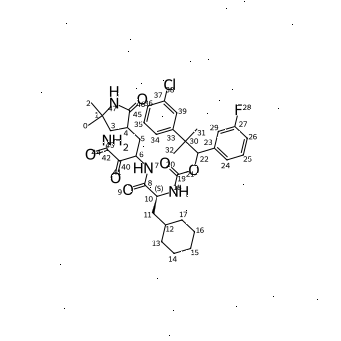 CC1(C)CC(CC(NC(=O)[C@H](CC2CCCCC2)NC(=O)OC(c2cccc(F)c2)C(C)(C)c2cccc(Cl)c2)C(=O)C(N)=O)C(=O)N1